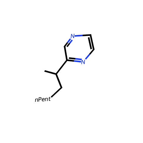 CCCCCCC(C)c1cnccn1